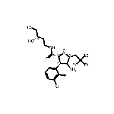 CCC(CC)(CC)C[C@@H]1N[C@@H](C(=O)NCC[C@H](O)CO)[C@H](c2cccc(Cl)c2F)C1N